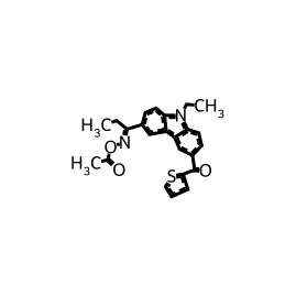 CCC(=NOC(C)=O)c1ccc2c(c1)c1cc(C(=O)c3cccs3)ccc1n2CC